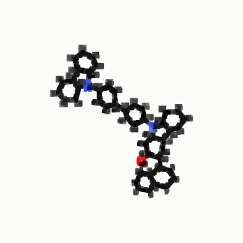 c1cc2c3c(cccc3c1)-c1cc3c4ccccc4n(-c4ccc(-c5ccc(-n6c7ccccc7c7ccccc76)cc5)cc4)c3cc1O2